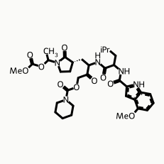 COC(=O)OC(C)N1CC[C@@H](CC(NC(=O)C(CC(C)C)NC(=O)c2cc3c(OC)cccc3[nH]2)C(=O)COC(=O)N2CCCCC2)C1=O